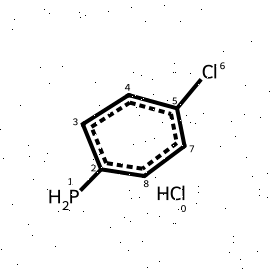 Cl.Pc1ccc(Cl)cc1